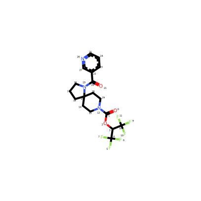 O=C(OC(C(F)(F)F)C(F)(F)F)N1CCC2(CCCN2C(=O)c2cccnc2)CC1